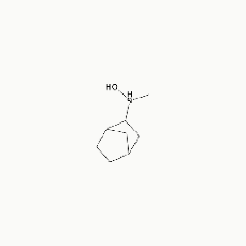 C[SiH](O)C1CC2CCC1C2